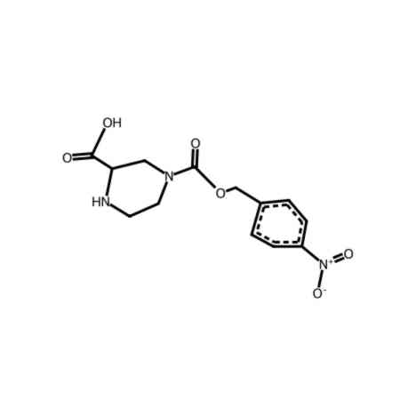 O=C(O)C1CN(C(=O)OCc2ccc([N+](=O)[O-])cc2)CCN1